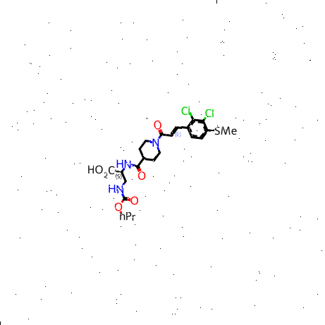 CCCOC(=O)NC[C@H](NC(=O)C1CCN(C(=O)/C=C/c2ccc(SC)c(Cl)c2Cl)CC1)C(=O)O